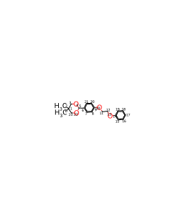 CC1(C)COC(c2ccc(OCCOc3ccccc3)cc2)OC1